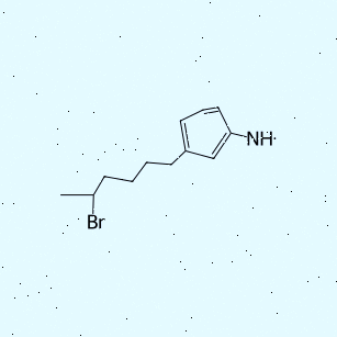 CC(Br)CCCCc1cccc([NH])c1